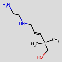 C[Si](C)(C=CCNCCN)CO